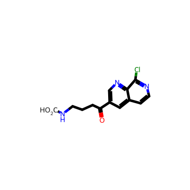 O=C(O)NCCCC(=O)c1cnc2c(Cl)nccc2c1